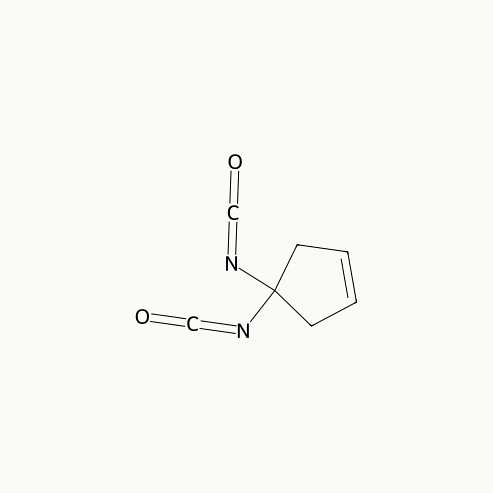 O=C=NC1(N=C=O)CC=CC1